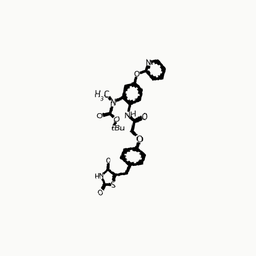 CN(C(=O)OC(C)(C)C)c1cc(Oc2ccccn2)ccc1NC(=O)COc1ccc(CC2SC(=O)NC2=O)cc1